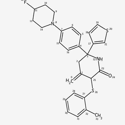 C=C1CC(c2ccc(N3CCC(F)CC3)cc2)(c2ccsc2)NC(=O)C1Sc1ccccc1C